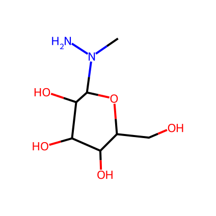 CN(N)C1OC(CO)C(O)C(O)C1O